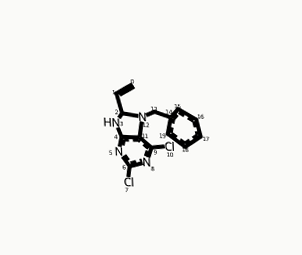 C=CC1Nc2nc(Cl)nc(Cl)c2N1Cc1ccccc1